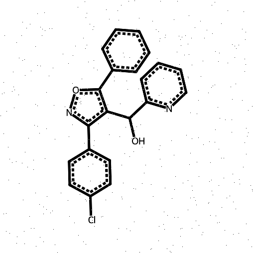 OC(c1ccccn1)c1c(-c2ccc(Cl)cc2)noc1-c1ccccc1